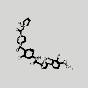 COc1ccc(-c2cnc(C(=O)Nc3ccc(C(=O)N4CCN(C(=O)C[N+]5(C)CCCC5)CC4)c(Cl)c3)n2C)c(F)c1F